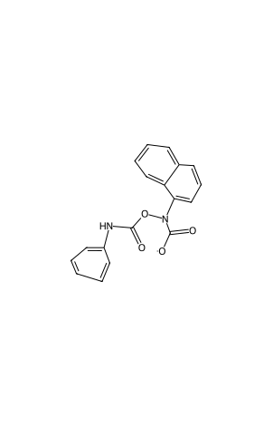 [O]C(=O)N(OC(=O)Nc1ccccc1)c1cccc2ccccc12